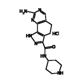 Cl.Nc1ncc2c(n1)-c1[nH]nc(C(=O)NC3CCNCC3)c1CC2